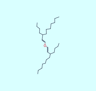 CCCCCCCC(C=COC=CC(CCCC)CCCCCCC)CCCC